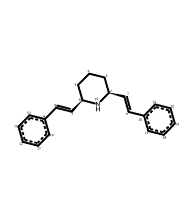 C(=C\[C@@H]1CCC[C@H](/C=C/c2ccccc2)N1)/c1ccccc1